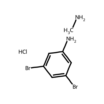 CN.Cl.Nc1cc(Br)cc(Br)c1